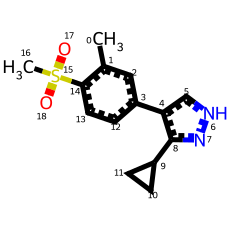 Cc1cc(-c2c[nH]nc2C2CC2)ccc1S(C)(=O)=O